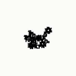 COc1nnc(Cl)cc1C(CCOCc1ccccc1)n1cc(NC(=O)C(NC(=O)c2ccnn2C(C)C)C(C2CC2)C2CC2)cn1